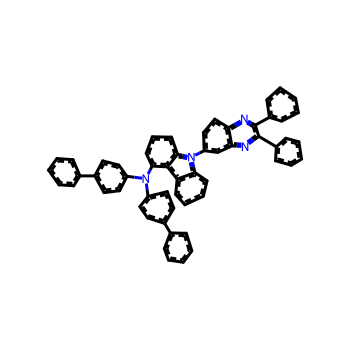 c1ccc(-c2ccc(N(c3ccc(-c4ccccc4)cc3)c3cccc4c3c3ccccc3n4-c3ccc4nc(-c5ccccc5)c(-c5ccccc5)nc4c3)cc2)cc1